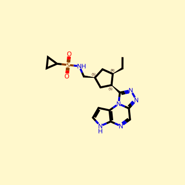 CC[C@@H]1C[C@H](CNS(=O)(=O)C2CC2)C[C@@H]1c1nnc2cnc3[nH]ccc3n12